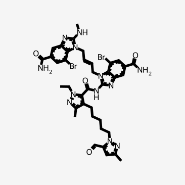 CCn1nc(C)c(CCCCCn2nc(C)cc2C=O)c1C(=O)Nc1nc2cc(C(N)=O)cc(Br)c2n1C/C=C/Cn1c(NC)nc2cc(C(N)=O)cc(Br)c21